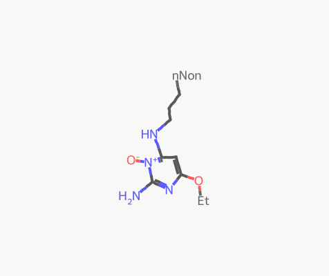 CCCCCCCCCCCCNc1cc(OCC)nc(N)[n+]1[O-]